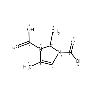 CC1=CN(C(=O)O)C(C)N1C(=O)O